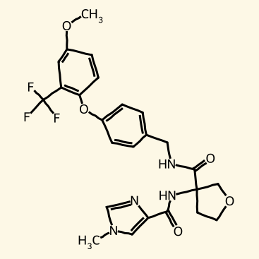 COc1ccc(Oc2ccc(CNC(=O)C3(NC(=O)c4cn(C)cn4)CCOC3)cc2)c(C(F)(F)F)c1